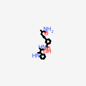 CC(CC#Cc1cccc(C(=O)N[C@H](O)C(C)c2c[nH]c3ccccc23)c1)C(N)=O